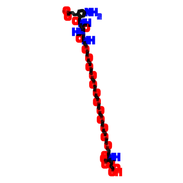 COC(=O)CCc1ccc(N)cc1C(=O)NCC(=O)NCC(=O)NCCOCCOCCOCCOCCOCCOCCOCCOCCOCCOCCOCCOCCC(=O)NC(CCC(=O)O)C(=O)O